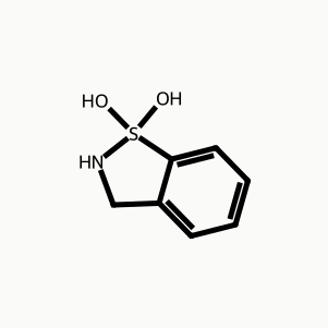 OS1(O)NCc2ccccc21